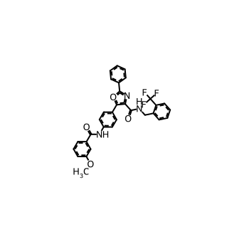 COc1cccc(C(=O)Nc2ccc(-c3oc(-c4ccccc4)nc3C(=O)NCc3ccccc3C(F)(F)F)cc2)c1